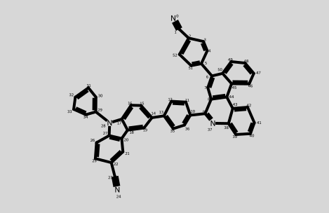 N#Cc1ccc(-c2cc3c(-c4ccc(-c5ccc6c(c5)c5cc(C#N)ccc5n6-c5ccccc5)cc4)nc4ccccc4c3c3ccccc23)cc1